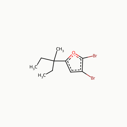 CCC(C)(CC)c1cc(Br)c(Br)o1